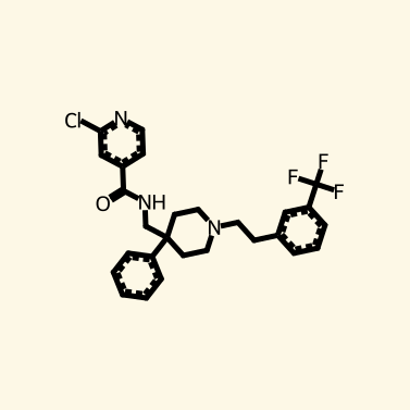 O=C(NCC1(c2ccccc2)CCN(CCc2cccc(C(F)(F)F)c2)CC1)c1ccnc(Cl)c1